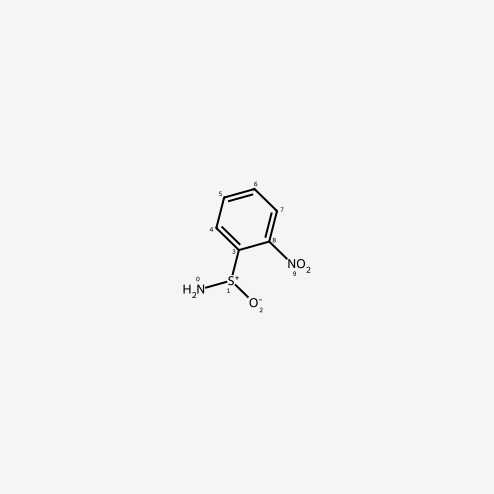 N[S+]([O-])c1ccccc1[N+](=O)[O-]